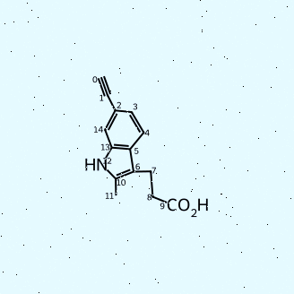 C#Cc1ccc2c(CCC(=O)O)c(C)[nH]c2c1